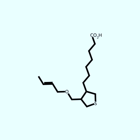 CC=CCOCC1CSCC1CCCCCCC(=O)O